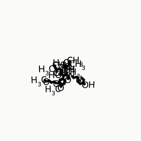 COCCCOc1cc(C(C(C)C(=O)NCCN2CCC(O)CC2)C(O)C(CC(C)C(C)C)NC(=O)OC(C)(C)C)ccc1OC